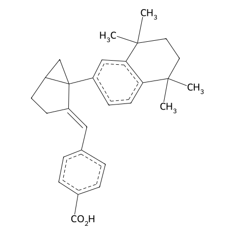 CC1(C)CCC(C)(C)c2cc(C34CC3CCC4=Cc3ccc(C(=O)O)cc3)ccc21